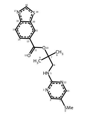 CSc1cnc(NCC(C)(C)OC(=O)c2ccc3ncsc3c2)nc1